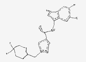 O=C(Nc1c[nH]c2cc(F)c(F)cc12)c1cnn(CC2CCC(F)(F)CC2)c1